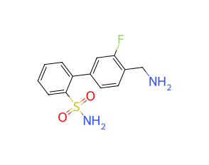 NCc1ccc(-c2ccccc2S(N)(=O)=O)cc1F